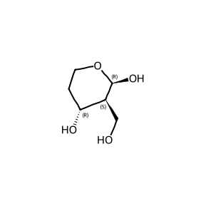 OC[C@H]1[C@H](O)CCO[C@H]1O